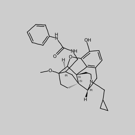 COC12CC[C@@]3(C[C@@H]1CNC(=O)Nc1ccccc1)[C@H]1Cc4ccc(O)c5c4[C@@]3(CCN1CC1CC1)C2O5